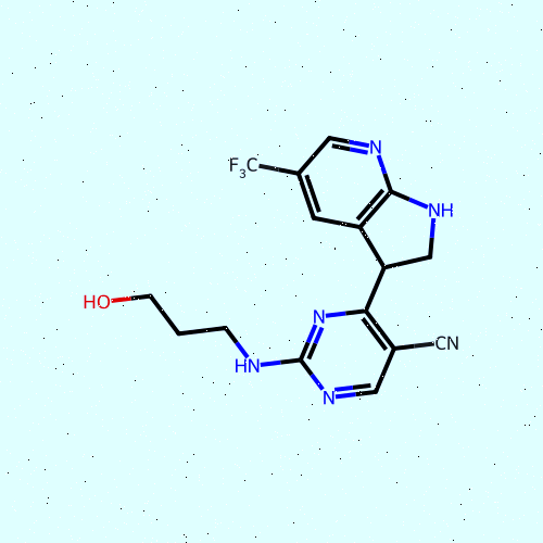 N#Cc1cnc(NCCCO)nc1C1CNc2ncc(C(F)(F)F)cc21